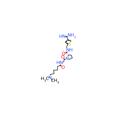 CN(C)CCCCCC(=O)NCC(=O)N1CCC[C@H]1C(=O)NCc1cc(C(=N)N)cs1